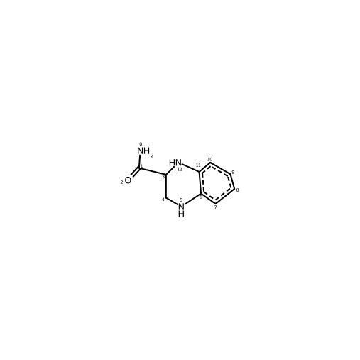 NC(=O)C1CNc2ccccc2N1